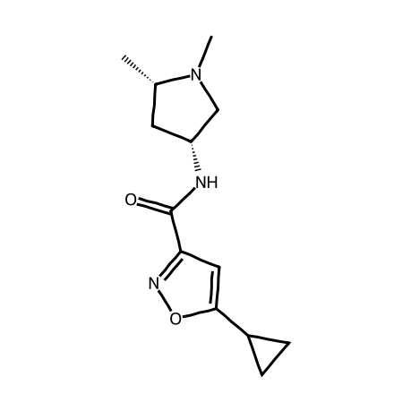 C[C@H]1C[C@@H](NC(=O)c2cc(C3CC3)on2)CN1C